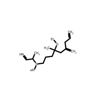 C=CCC(=C)CC(C)(CCCN(CCC)C(C)C=N)OCC